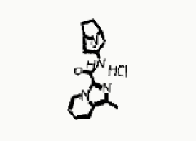 Cc1nc(C(=O)NC2CC3CCC(C2)N3C)n2ccccc12.Cl